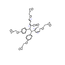 C/C=C(\C=C/COCC1CO1)C(c1ccc(OCC2CO2)cc1)C(/C(C=O)=C/C=C/OCC1CO1)c1ccc(OCC2CO2)cc1